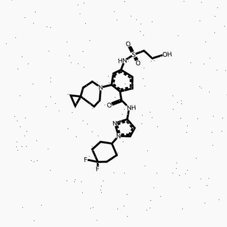 O=C(Nc1ccn(C2CCC(F)(F)CC2)n1)c1ccc(NS(=O)(=O)CCO)cc1N1CCC2(CC1)CC2